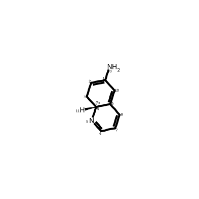 NC1=CC[C@H]2N=CC=CC2=C1